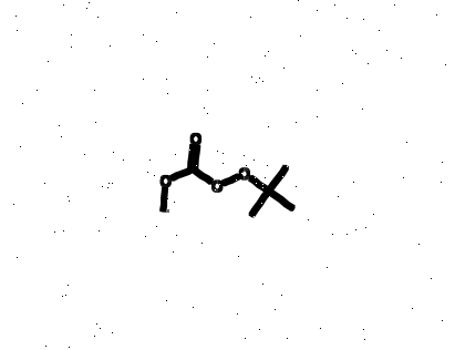 [CH2]OC(=O)OOC(C)(C)C